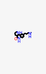 CNCCCc1ccc2[nH]c(=O)c3c(c2c1)NCCC3